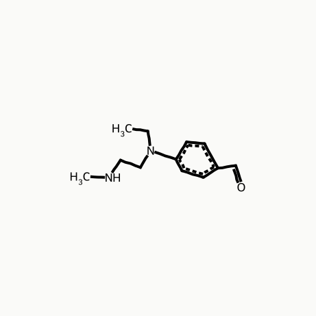 CCN(CCNC)c1ccc(C=O)cc1